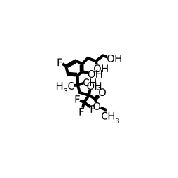 CCOC(=O)C(O)(CC(C)(C)c1cc(F)cc(CC(O)CO)c1O)C(F)(F)F